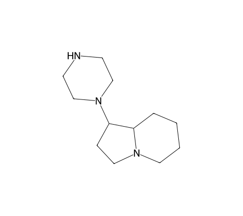 C1CCN2CCC(N3CCNCC3)C2C1